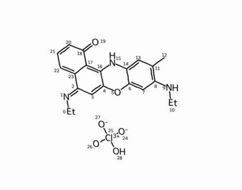 CCN=c1cc2oc3cc(NCC)c(C)cc3[nH]c-2c2c(=O)cccc1-2.[O-][Cl+3]([O-])([O-])O